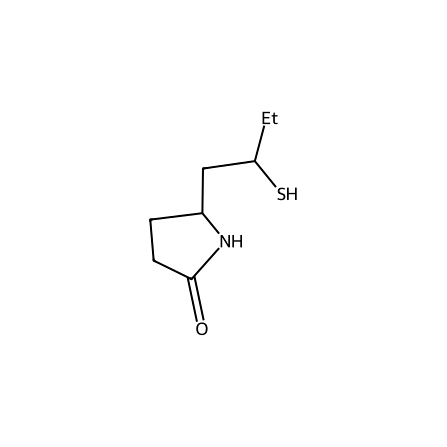 CCC(S)CC1CCC(=O)N1